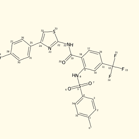 Cc1ccc(S(=O)(=O)Nc2cc(C(F)(F)F)ccc2C(=O)Nc2nc(-c3ccc(Br)cc3)cs2)cc1